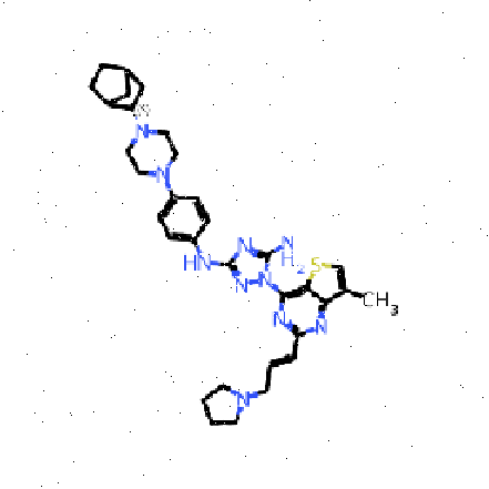 Cc1csc2c(-n3nc(Nc4ccc(N5CCN([C@H]6CC7CCC6C7)CC5)cc4)nc3N)nc(C=CCN3CCCC3)nc12